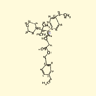 C=Cc1ccc(COC(=O)CO/N=C(/c2ccc(SC)cc2)C(C)(C)N2CCOCC2)cc1